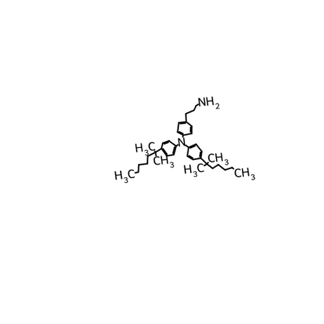 CCCCCC(C)(C)c1ccc(N(c2ccc(CCCN)cc2)c2ccc(C(C)(C)CCCCC)cc2)cc1